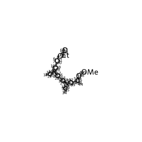 CCC1(COCc2ccc(-c3ccc(N(c4ccc(C)cc4)c4ccc(-c5ccc(N(c6ccc(C)cc6)c6ccc(-c7cc(C)cc(OCCOC)c7)cc6)cc5)cc4)cc3)cc2)COC1